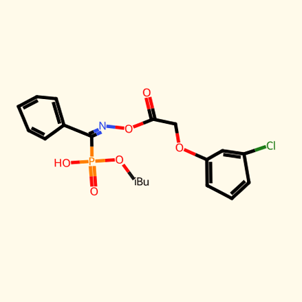 CCC(C)OP(=O)(O)C(=NOC(=O)COc1cccc(Cl)c1)c1ccccc1